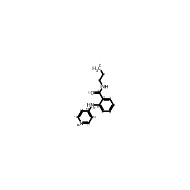 CCCNC(=O)c1ccccc1Nc1ccncc1